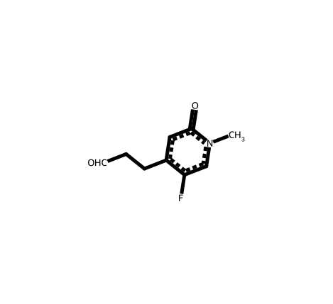 Cn1cc(F)c(CCC=O)cc1=O